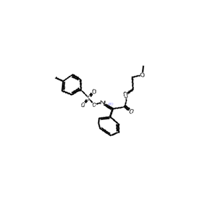 COCCOC(=O)/C(=N/OS(=O)(=O)c1ccc(C)cc1)c1ccccc1